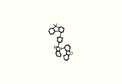 CC1(C)c2ccccc2-c2c(-c3ccc(-c4nc5ccccc5n4-c4cccc5oc6ccccc6c45)cc3)cccc21